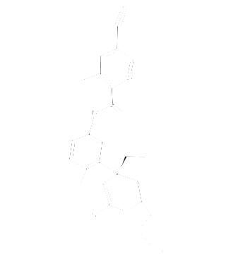 COC[C@@]1(C)SC(N)=N[C@](CF)(c2cc(NC(=O)c3ncc(C#N)cc3C)ccc2F)[C@@H]1C